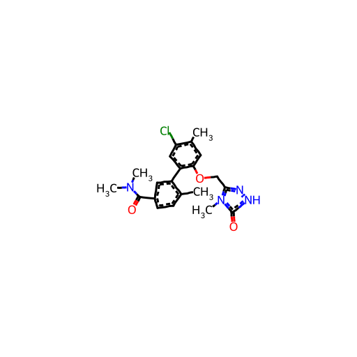 Cc1cc(OCc2n[nH]c(=O)n2C)c(-c2cc(C(=O)N(C)C)ccc2C)cc1Cl